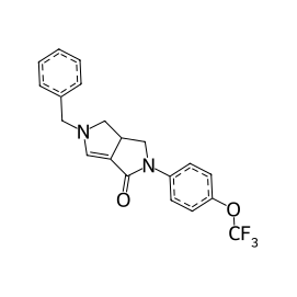 O=C1C2=CN(Cc3ccccc3)CC2CN1c1ccc(OC(F)(F)F)cc1